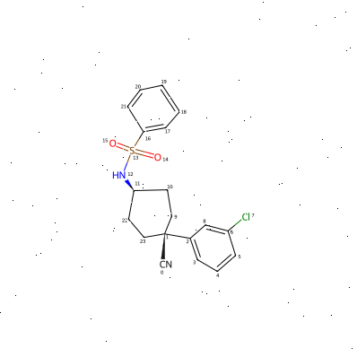 N#C[C@]1(c2cccc(Cl)c2)CC[C@H](NS(=O)(=O)c2ccccc2)CC1